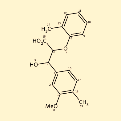 COc1cc(C(O)C(Oc2ccccc2C)C(=O)O)ccc1C